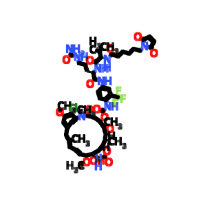 COc1cc2cc(c1Cl)N(C)C(=O)C[C@H](OC(=O)Nc1ccc(NC(=O)[C@H](CCCNC(N)=O)NC(=O)[C@@H](NC(=O)CCCCCN3C(=O)C=CC3=O)C(C)C)cc1C(F)(F)F)[C@]1(C)O[C@H]1[C@H](C)[C@@H]1C[C@@](O)(NC(=O)O1)[C@H](OC)/C=C/C=C(\C)C2